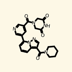 O=C1CN(C(=O)c2cncc(-c3cccc4c(C(=O)N5CCCCC5)cnn34)c2)CC(=O)N1